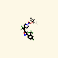 CC(C)(C)OC(=O)N1CCC2(CC1)C(c1cc(-c3ccc(F)cc3C(F)(F)F)no1)C2(F)F